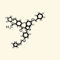 COc1cc(C(=O)c2c(-c3ccc(OCCn4cccn4)cc3)sc3cc(OCc4ccccc4)ccc23)ccc1CN1CCCC1